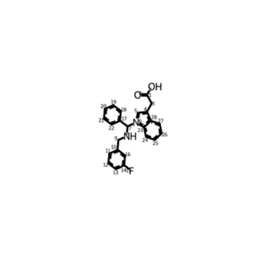 O=C(O)Cc1cn(C(NCc2cccc(F)c2)c2ccccc2)c2ccccc12